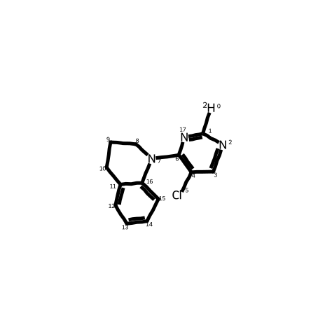 [2H]c1ncc(Cl)c(N2CCCc3ccccc32)n1